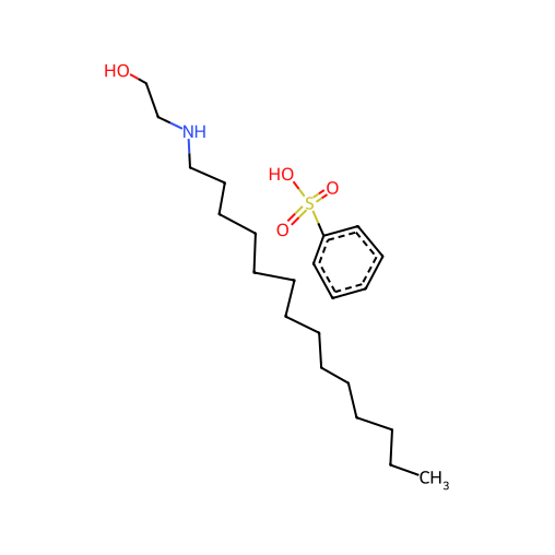 CCCCCCCCCCCCCCNCCO.O=S(=O)(O)c1ccccc1